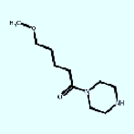 COCCC[CH]C(=O)N1CCNCC1